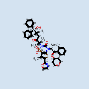 COc1ccccc1[C@H](CN1C(=O)N(C(C)(C)C(=O)CC(C)(C)[Si](O)(c2ccccc2)c2ccccc2)S(=O)(=O)c2c1sc(-c1ncco1)c2C)OC1CCOCC1